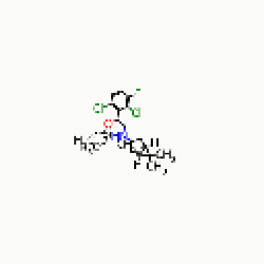 CC[Si](CC)(CC)OC(CNC1C[C@@H]2[C@H](C1)C2(C)C)c1c(Cl)ccc(F)c1Cl